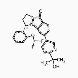 CC(C)(O)c1ncc(-c2ccc3c(=O)n4n(c3c2)[C@H](c2ccccc2OC(F)F)CC4)cn1